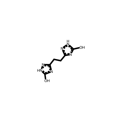 Oc1nc(CCc2n[nH]c(O)n2)n[nH]1